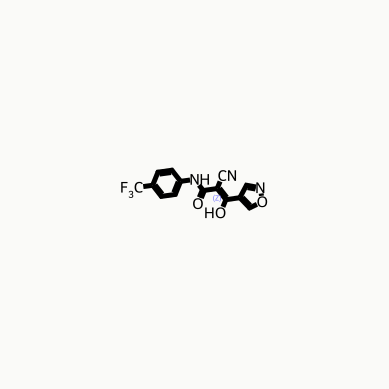 N#C/C(C(=O)Nc1ccc(C(F)(F)F)cc1)=C(/O)c1cnoc1